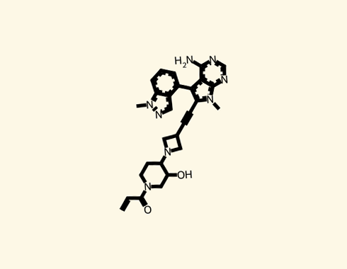 C=CC(=O)N1CCC(N2CC(C#Cc3c(-c4cccc5c4cnn5C)c4c(N)ncnc4n3C)C2)C(O)C1